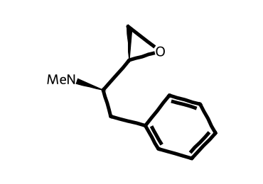 CN[C@H](Cc1ccccc1)[C@H]1CO1